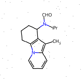 Cc1c2c(n3ccccc13)CCCC2N(C=O)C(C)C